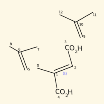 C/C(=C\C(=O)O)C(=O)O.C=C(C)C.C=C(C)C